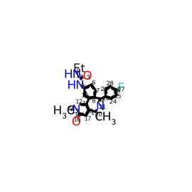 CCNC(=O)Nc1ccc2c(c1)-c1cn(C)c(=O)cc1[C@H](C)N=C2c1ccc(F)cc1